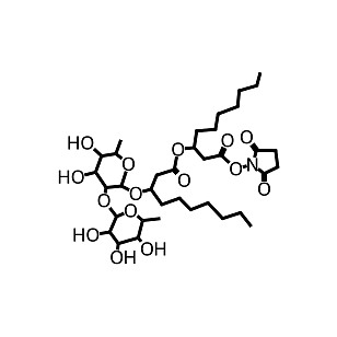 CCCCCCCC(CC(=O)ON1C(=O)CCC1=O)OC(=O)CC(CCCCCCC)OC1OC(C)C(O)C(O)C1OC1OC(C)C(O)C(O)C1O